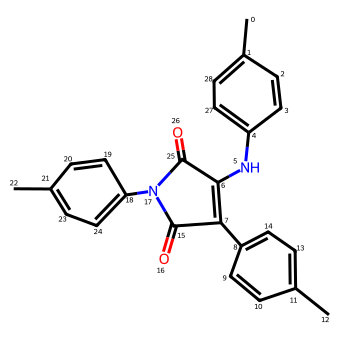 Cc1ccc(NC2=C(c3ccc(C)cc3)C(=O)N(c3ccc(C)cc3)C2=O)cc1